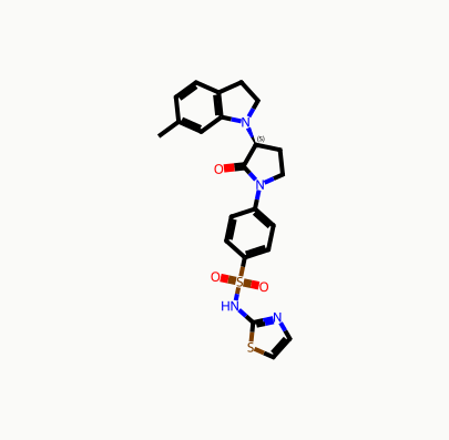 Cc1ccc2c(c1)N([C@H]1CCN(c3ccc(S(=O)(=O)Nc4nccs4)cc3)C1=O)CC2